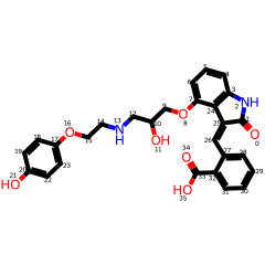 O=C1Nc2cccc(OCC(O)CNCCOc3ccc(O)cc3)c2C1=Cc1ccccc1C(=O)O